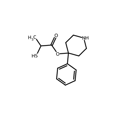 CC(S)C(=O)OC1(c2ccccc2)CCNCC1